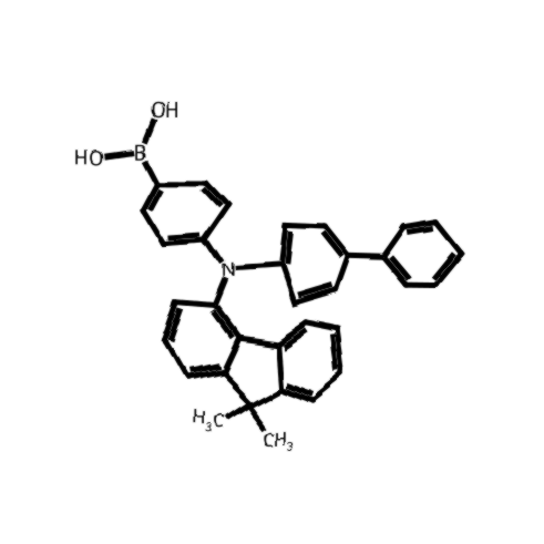 CC1(C)c2ccccc2-c2c(N(c3ccc(B(O)O)cc3)c3ccc(-c4ccccc4)cc3)cccc21